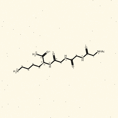 CC(=O)NCC(=O)NCC(=O)NCC(=O)N[C@@H](CCCCN)C(N)=O